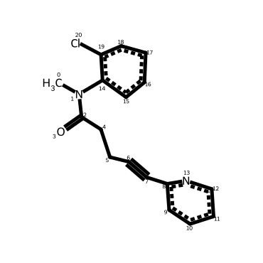 CN(C(=O)CCC#Cc1ccccn1)c1ccccc1Cl